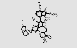 CCN1CCN2c3nc(OC[C@@]45CCCN4C[C@H](F)C5)nc4c(F)c(-c5ccc(F)c6sc(N)c(C#N)c56)c(Cl)c(c34)OCCC2C1=O